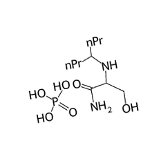 CCCC(CCC)NC(CO)C(N)=O.O=P(O)(O)O